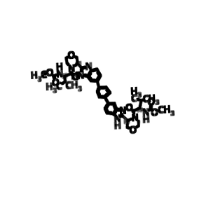 COC(=O)N[C@H](C(=O)N1CCOC[C@H]1c1nc2cc(-c3ccc(-c4ccc5nc([C@@H]6COCCN6C(=O)[C@@H](NC(=O)OC)C(C)C)[nH]c5c4)cc3)ccc2[nH]1)C(C)C